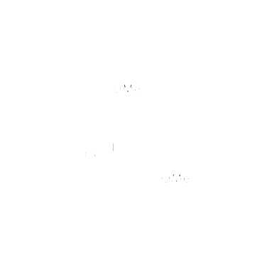 CCCCCCCCP(c1ccc(OC)cc1)c1ccc(OC)cc1